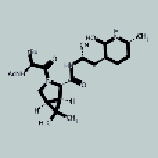 CC(=O)N[C@H](C(=O)N1C[C@H]2[C@@H]([C@H]1C(=O)N[C@H](C#N)C[C@@H]1CC[C@@H](C)NC1O)C2(C)C)C(C)(C)C